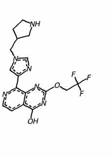 Oc1nc(OCC(F)(F)F)nc2c(-c3cn(CC4CCNC4)cn3)nccc12